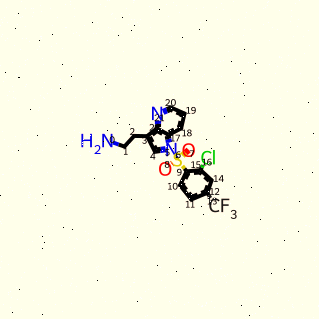 NCCc1cn(S(=O)(=O)c2ccc(C(F)(F)F)cc2Cl)c2cccnc12